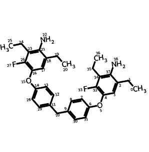 CCc1cc(Oc2ccc(Cc3ccc(Oc4cc(CC)c(N)c(CC)c4F)cc3)cc2)c(F)c(CC)c1N